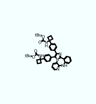 CC(C)(C)OC(=O)NC1(c2ccc(-c3nc4n(c3-c3ccc(C5(NC(=O)OC(C)(C)C)CCC5)cc3)-c3cccnc3Nc3ccccc3-4)cc2)CCC1